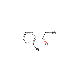 CCc1ccccc1C(=O)CC(C)C